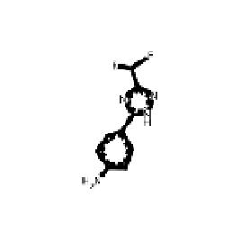 Nc1ccc(-c2nc(C(F)F)n[nH]2)cc1